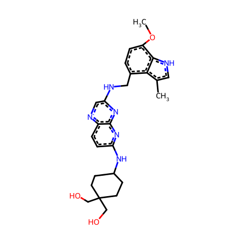 COc1ccc(CNc2cnc3ccc(NC4CCC(CO)(CO)CC4)nc3n2)c2c(C)c[nH]c12